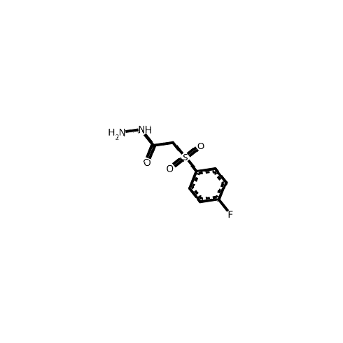 NNC(=O)CS(=O)(=O)c1ccc(F)cc1